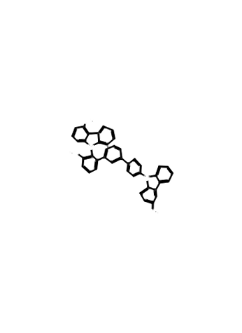 N#Cc1ccc2c(c1)c1ccccc1n2-c1ccc(-c2cccc(-c3cccc(C#N)c3-n3c4ccccc4c4c(C#N)cccc43)c2)cc1